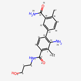 CCc1c(C(=O)NCCCO)ccc(-c2ccc(C)c(C(N)=O)c2)c1N